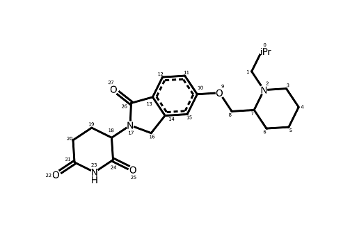 CC(C)CN1CCCCC1COc1ccc2c(c1)CN(C1CCC(=O)NC1=O)C2=O